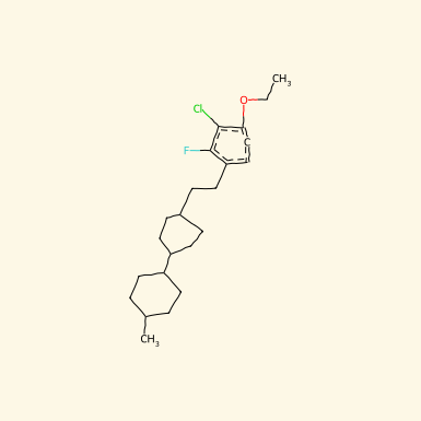 CCOc1ccc(CCC2CCC(C3CCC(C)CC3)CC2)c(F)c1Cl